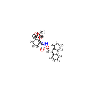 CCC(=O)Oc1c(NC(=O)OCC2c3ccccc3-c3ccccc32)cccc1OC